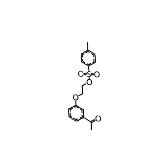 CC(=O)c1cccc(OCCOS(=O)(=O)c2ccc(C)cc2)c1